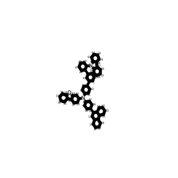 c1cc(-c2ccc(N(c3ccc(-c4cc5ccccc5c5ccccc45)cc3)c3ccc4c(c3)oc3ccccc34)cc2)cc(-c2ccccc2-n2c3ccccc3c3ccccc32)c1